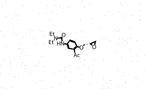 CCN(CC)C(=O)Nc1ccc(OC[C@@H]2CO2)c(C(C)=O)c1